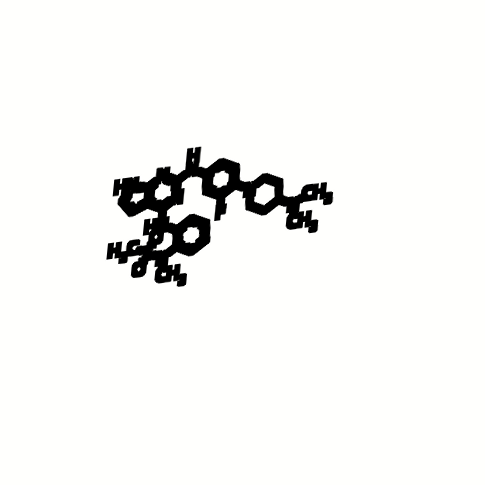 CN(C)C1CCN(c2ccc(Nc3nc(Nc4ccccc4N(C)S(C)(=O)=O)c4cc[nH]c4n3)cc2F)CC1